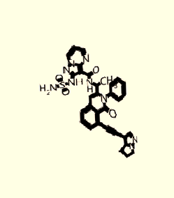 CC(NC(=O)c1c(NS(N)(=O)=O)nn2cccnc12)c1cc2cccc(C#Cc3cnn4c3CCC4)c2c(=O)n1-c1ccccc1